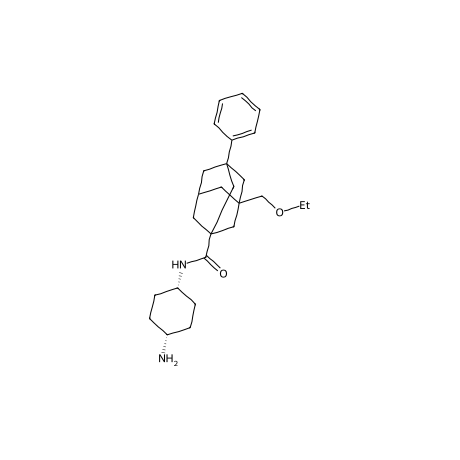 CCOCC12CC3CC(C(=O)N[C@H]4CC[C@@H](N)CC4)(C1)CC(c1ccccc1)(C3)C2